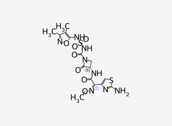 CO/N=C(\C(=O)N[C@H]1CN(C(=O)NS(=O)(=O)Nc2onc(C)c2C)C1=O)c1csc(N)n1